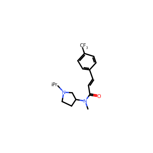 CC(C)N1CCC(N(C)C(=O)C=Cc2ccc(C(F)(F)F)cc2)C1